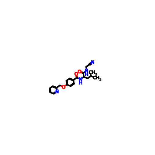 CC(C)CC(NC(=O)c1ccc(OCc2ccccn2)cc1)C(=O)NCC#N